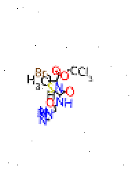 CC1(CBr)S[C@H]2C(NC(=O)Cn3cnnn3)C(=O)N2C1C(=O)OCC(Cl)(Cl)Cl